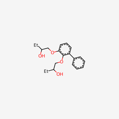 CCC(O)COc1cccc(-c2ccccc2)c1OCC(O)CC